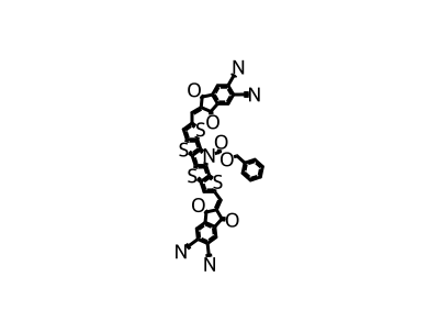 N#Cc1cc2c(cc1C#N)C(=O)C(=Cc1cc3sc4c5sc6cc(C=C7C(=O)c8cc(C#N)c(C#N)cc8C7=O)sc6c5n(C(=O)OCc5ccccc5)c4c3s1)C2=O